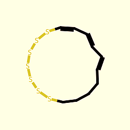 C1=C\SSSSSSSCCCC/C=C/C=C/1